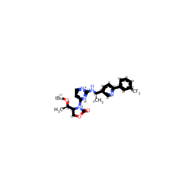 C[C@H](Nc1nccc(N2C(=O)OCC2[C@@H](C)OC(C)(C)C)n1)c1ccc(-c2cccc(C(F)(F)F)c2)nc1